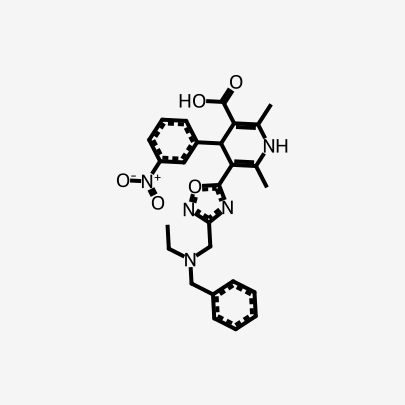 CCN(Cc1ccccc1)Cc1noc(C2=C(C)NC(C)=C(C(=O)O)C2c2cccc([N+](=O)[O-])c2)n1